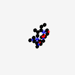 c1ccc(-c2cccc(-c3cc(-c4cc(-c5ccccc5)cc(-c5ccc(-c6nc(-c7ccccc7)nc(-c7c(-c8ccc9c(c8)c8ccccc8n9-c8ccccc8)ccc8c7c7ccccc7n8-c7ccccc7)n6)cc5)c4)cc(-c4nc(-c5ccccc5)nc(-c5cccc6oc7ccc(-c8ccc9c(c8)c8ccccc8n9-c8ccccc8)cc7c56)n4)c3)c2)cc1